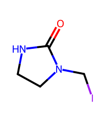 O=C1NCCN1CI